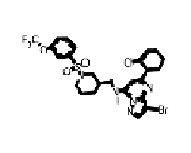 O=S(=O)(c1cccc(OC(F)(F)F)c1)N1CCCC(CNc2cc(C3=CCCC=C3Cl)nc3c(Br)cnn23)C1